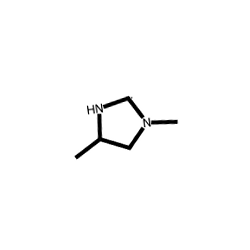 CC1CN(C)[CH]N1